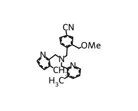 COCc1cc(C#N)ccc1CN(Cc1ncccc1C)Cc1ncccc1C